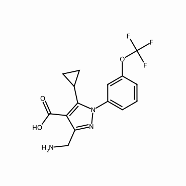 NCc1nn(-c2cccc(OC(F)(F)F)c2)c(C2CC2)c1C(=O)O